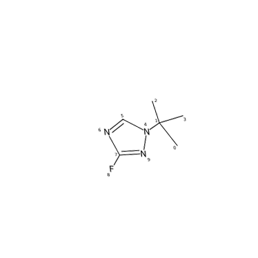 CC(C)(C)n1cnc(F)n1